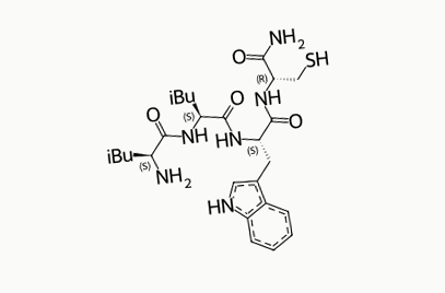 CCC(C)[C@H](N)C(=O)N[C@H](C(=O)N[C@@H](Cc1c[nH]c2ccccc12)C(=O)N[C@@H](CS)C(N)=O)C(C)CC